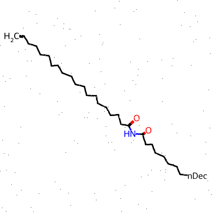 C=CCCCCCCCCCCCCCCCCCC(=O)NC(=O)CCCCCCCCCCCCCCCCC